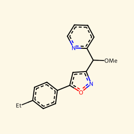 CCc1ccc(-c2cc(C(OC)c3ccccn3)no2)cc1